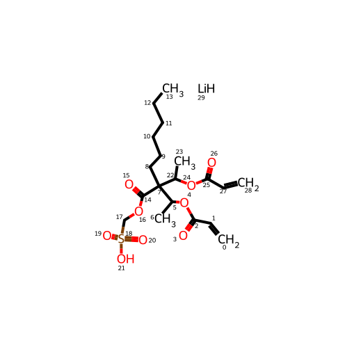 C=CC(=O)OC(C)C(CCCCCC)(C(=O)OCS(=O)(=O)O)C(C)OC(=O)C=C.[LiH]